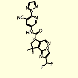 CC1(C)C[C@H](C(=O)Nc2cnc(-n3nccn3)c(C#N)c2)c2cnn3cc(C(F)F)nc3c21